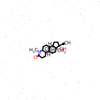 C#CC1(O)CC[C@H]2[C@@H]3CCC4N(C)C(=O)CC[C@]4(C)[C@@H]3CC[C@@]21C